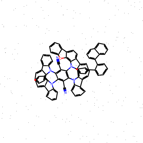 N#Cc1c(-n2c3ccccc3c3ccccc32)c(-n2c3ccccc3c3ccccc32)c(C#N)c(-n2c3ccc(-c4ccccc4-c4cccc5ccccc45)cc3c3ccc4c5ccccc5oc4c32)c1-n1c2ccccc2c2ccccc21